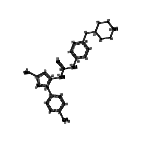 Cc1ccc(-n2nc(C(C)(C)C)cc2NC(=O)Nc2ccc(CC3CCNCC3)cc2)cc1